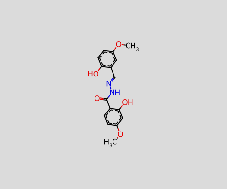 COc1ccc(C(=O)NN=Cc2cc(OC)ccc2O)c(O)c1